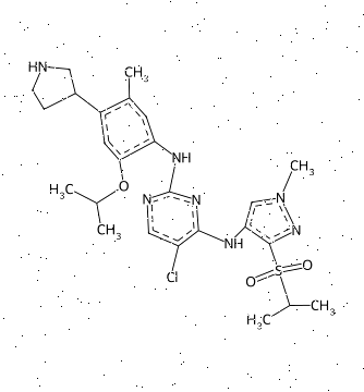 Cc1cc(Nc2ncc(Cl)c(Nc3cn(C)nc3S(=O)(=O)C(C)C)n2)c(OC(C)C)cc1C1CCNC1